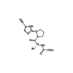 C#Cc1cnc([C@H]2CCCN2C(=O)[C@H](NC(=O)OC)C(C)C)[nH]1